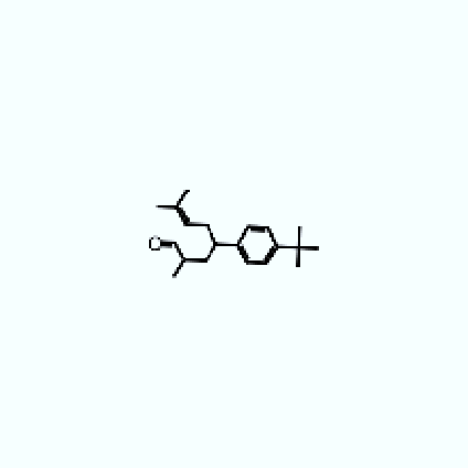 CC(C)=CCC(CC(C)C=O)c1ccc(C(C)(C)C)cc1